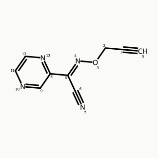 C#CCON=C(C#N)c1cnccn1